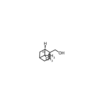 CC1(C)C2CC=C(CO)[C@H]1C2